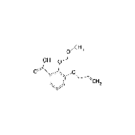 C=CCOc1cccc(C(=O)O)c1OCOC